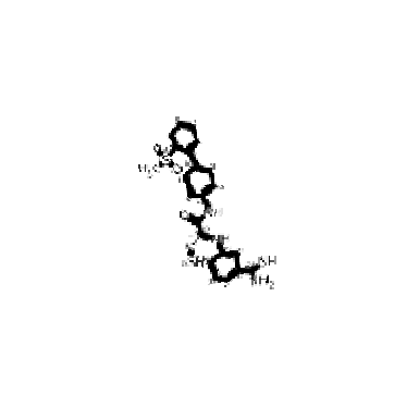 CS(=O)(=O)c1ccccc1-c1ccc(NC(=O)[C@@H](CS)Nc2cccc(C(=N)N)c2)cc1